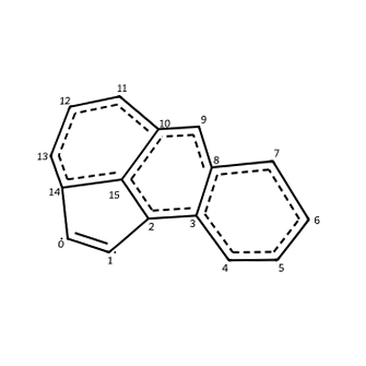 [C]1=[C]c2c3ccccc3cc3cccc1c23